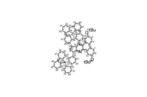 CC(C)(C)Oc1ccc2c3ccc(OC(C)(C)C)cc3c3nc4c(-c5cccc6c5-c5ccccc5C65c6ccccc6-c6ccccc65)sc(-c5cccc6c5-c5ccccc5C65c6ccccc6-c6ccccc65)c4nc3c2c1